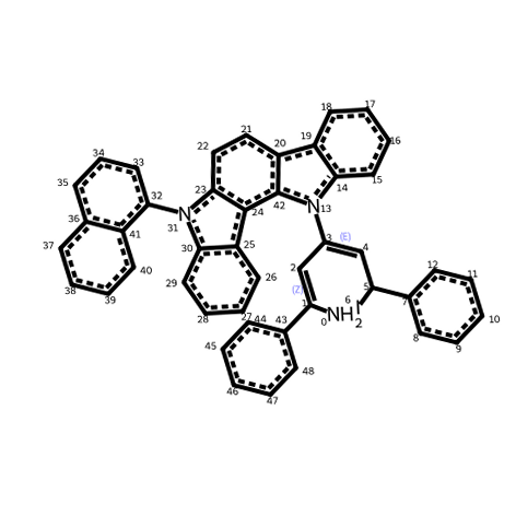 N/C(=C\C(=C/C(I)c1ccccc1)n1c2ccccc2c2ccc3c(c4ccccc4n3-c3cccc4ccccc34)c21)c1ccccc1